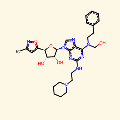 CCc1cc([C@H]2O[C@@H](n3cnc4c(N(CO)CCc5ccccc5)nc(NCCN5CCCCC5)nc43)[C@H](O)[C@@H]2O)on1